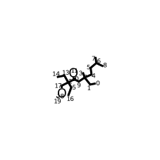 CCC(C)(CCC(C)C)CC(=O)C(CC)(CC)COC